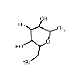 CC1OC(CC(C)(C)C)C(O)C(O)C1O